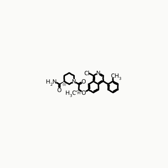 Cc1ccccc1-c1cnc(Cl)c2cc(O[C@H](C)C(=O)N3CCC[C@H](C(N)=O)C3)ccc12